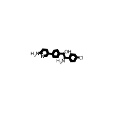 Nc1ccc(-c2ccc(C(O)C(N)c3ccc(Cl)cc3)cc2)cn1